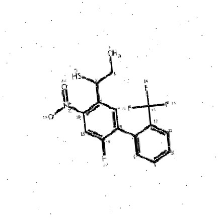 CCC(S)c1cc(-c2ccccc2C(F)(F)F)c(F)cc1[N+](=O)[O-]